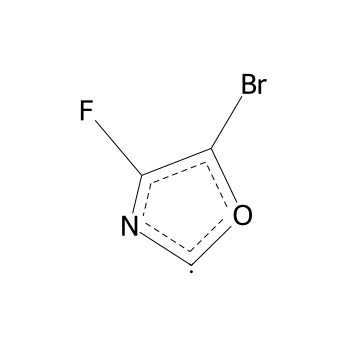 Fc1n[c]oc1Br